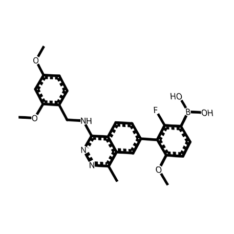 COc1ccc(CNc2nnc(C)c3cc(-c4c(OC)ccc(B(O)O)c4F)ccc23)c(OC)c1